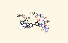 C=CC(=O)N1CC[C@H](C(=O)N(C)[C@H](C(=O)N[C@@H](Cc2cc(O)cc(-c3ccc4c(c3)c(CC(C)(C)COC=O)c(-c3cccnc3[C@@H](OC)C(F)(F)F)n4CC)c2)C(=O)N2CCCCN2)C(C)C)C1